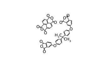 CC(C)(c1ccc(Oc2ccc3c(c2)C(=O)OC3=O)cc1)c1ccc(Oc2ccc3c(c2)C(=O)OC3=O)cc1.O=C1OC(=O)c2ccc3c4c(ccc1c24)C(=O)OC3=O